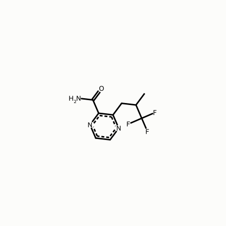 CC(Cc1nccnc1C(N)=O)C(F)(F)F